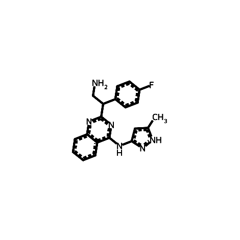 Cc1cc(Nc2nc(C(CN)c3ccc(F)cc3)nc3ccccc23)n[nH]1